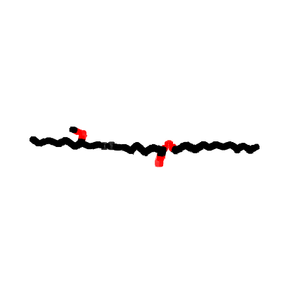 CCCCCCCCCCCCOC(=O)CCCCCCCCCCC(CCCCCC)OC